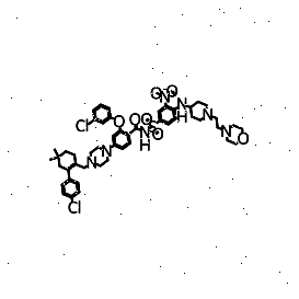 CC1(C)CCC(CN2CCN(c3ccc(C(=O)NS(=O)(=O)c4ccc(NC5CCN(CCN6CCOCC6)CC5)c([N+](=O)[O-])c4)c(Oc4cccc(Cl)c4)c3)CC2)=C(c2ccc(Cl)cc2)C1